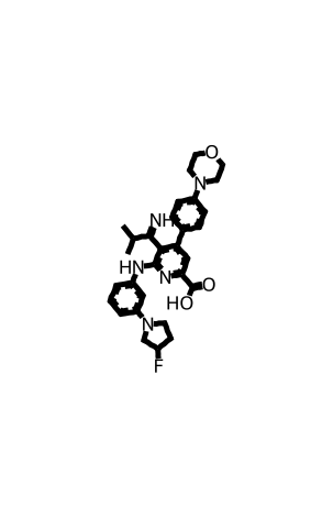 CC(C)C(=N)c1c(-c2ccc(N3CCOCC3)cc2)cc(C(=O)O)nc1Nc1cccc(N2CCC(F)C2)c1